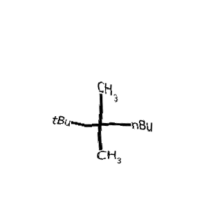 [CH2]C(C)(C)C(C)(C)CCCC